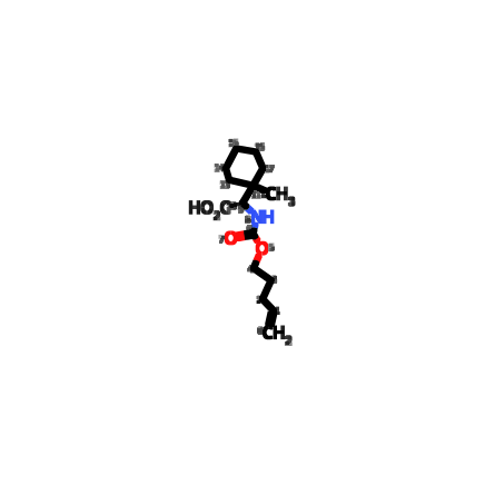 C=CCCCOC(=O)N[C@H](C(=O)O)C1(C)CCCCC1